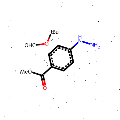 CC(C)(C)OC=O.COC(=O)c1ccc(NN)cc1